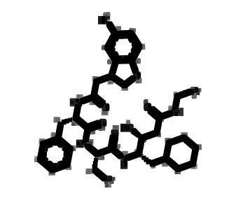 CC(C)CNC(=O)C[C@H](O)[C@H](CC1CCCCC1)NC(=O)[C@H](CC(C)C)NC(=O)[C@H](Cc1ccccc1)NC(=O)CC1COc2ccc(C#N)cc21